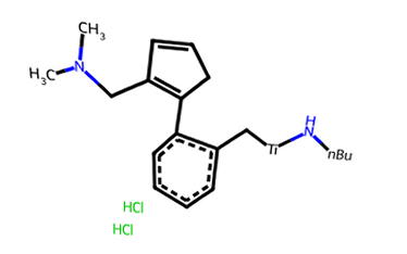 CCCC[NH][Ti][CH2]c1ccccc1C1=C(CN(C)C)C=CC1.Cl.Cl